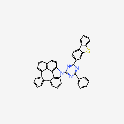 c1ccc(-c2nc(-c3ccc4c(c3)sc3ccccc34)nc(-n3c4cccc5c4c4c6c(cccc6ccc43)-c3ccccc3-5)n2)cc1